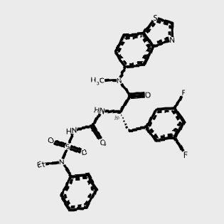 CCN(c1ccccc1)S(=O)(=O)NC(=O)N[C@@H](Cc1cc(F)cc(F)c1)C(=O)N(C)c1ccc2scnc2c1